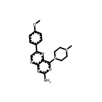 COc1ccc(-c2cnc3nc(N)nc(N4CCN(C)CC4)c3n2)cc1